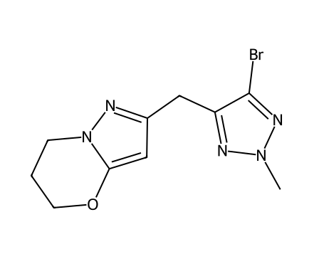 Cn1nc(Br)c(Cc2cc3n(n2)CCCO3)n1